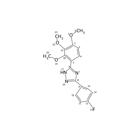 COc1ccc(-c2nc(-c3ccc(F)cc3)n[nH]2)c(OC)c1OC